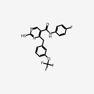 O=C(Nc1ccc(F)cc1)c1cnc(S)nc1Cc1cccc(OC(F)(F)F)c1